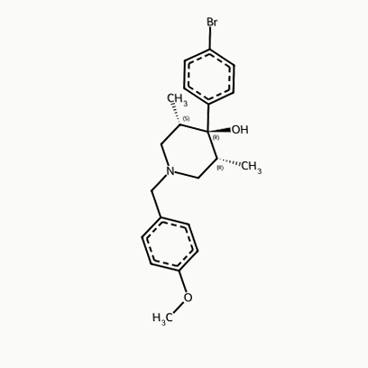 COc1ccc(CN2C[C@@H](C)[C@@](O)(c3ccc(Br)cc3)[C@@H](C)C2)cc1